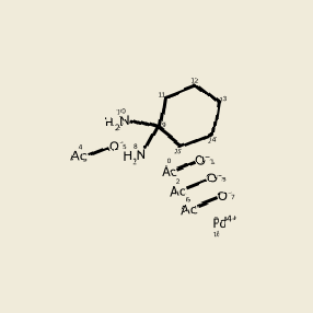 CC(=O)[O-].CC(=O)[O-].CC(=O)[O-].CC(=O)[O-].NC1(N)CCCCC1.[Pd+4]